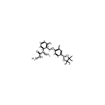 Cc1cc(B2OC(C)(C)C(C)(C)O2)ccc1OCc1c(C)cccc1N(N)C(=O)NN